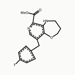 COC(=O)c1ncc(Cc2ccc(F)cc2)c2c1NCCCO2